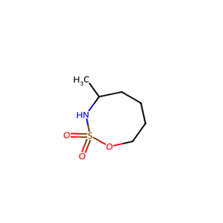 CC1CCCCOS(=O)(=O)N1